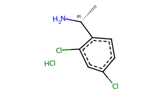 C[C@@H](N)c1ccc(Cl)cc1Cl.Cl